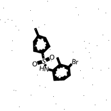 Cc1ccc(S(=O)(=O)Nc2cccc(Br)c2C)cc1